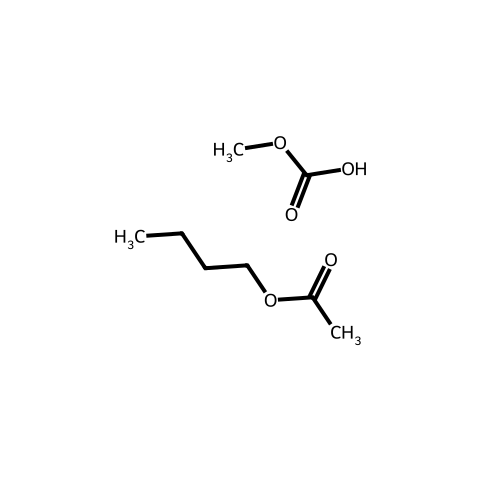 CCCCOC(C)=O.COC(=O)O